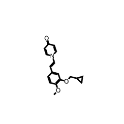 COc1ccc(C=Cn2ccc(=O)cc2)cc1OCC1CC1